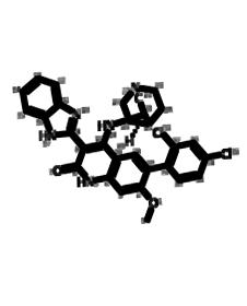 COc1cc2[nH]c(=O)c(-c3nc4ccccc4[nH]3)c(N[C@H]3CN4CCC3CC4)c2cc1-c1ccc(Cl)cc1Cl